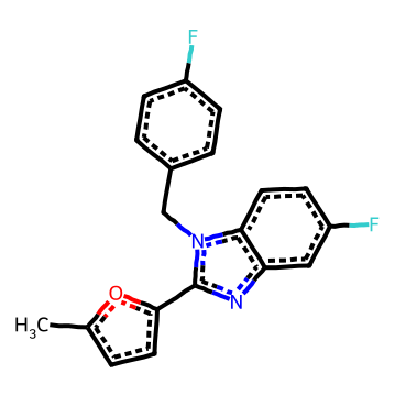 Cc1ccc(-c2nc3cc(F)ccc3n2Cc2ccc(F)cc2)o1